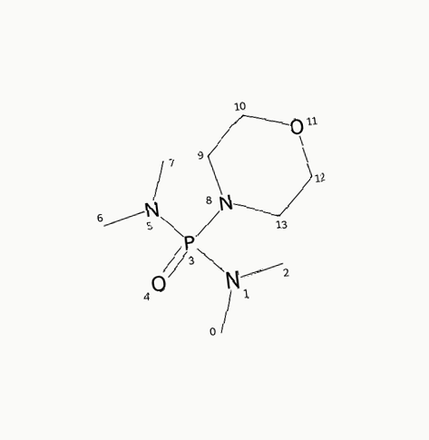 CN(C)P(=O)(N(C)C)N1CCOCC1